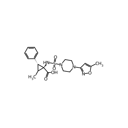 Cc1cc(N2CCN(S(=O)(=O)N[C@@]3(C(=O)O)C(C)[C@@H]3c3ccccc3)CC2)no1